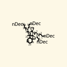 CCCCCCCCCCCCN(CCCCCCCCCCCC)CN1C(=O)N(CN(CCCCCCCCCCCC)CCCCCCCCCCCC)C(C)(C2CCCCC2)C1=O